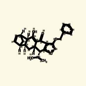 CN(C)[C@H]1c2onc(OCc3ccccc3)c2C(=O)C2=C(O)[C@H]3[C@@H](C[C@H]21)[C@H]1C=C[C@@H]3C1